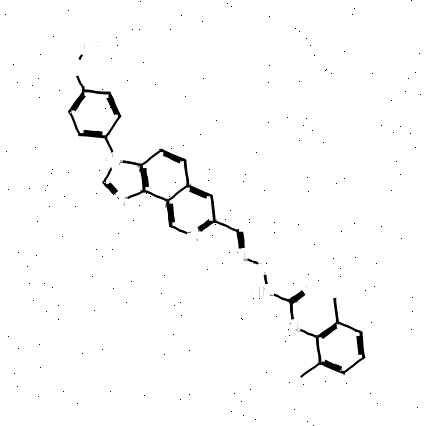 Cc1cccc(C)c1NC(=O)NS/N=C/c1cc2ccc3c(ncn3-c3ccc(OC(F)(F)F)cc3)c2cn1